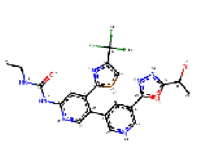 CCNC(=O)Nc1cc(-c2nc(C(F)(F)F)cs2)c(-c2cncc(-c3nnc(C(C)O)o3)c2)cn1